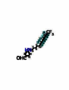 O=Cc1ccc(NCCCCCC(F)(F)C(F)(F)C(F)(F)C(F)(F)C(F)(F)C(F)(F)C(F)(F)F)cc1